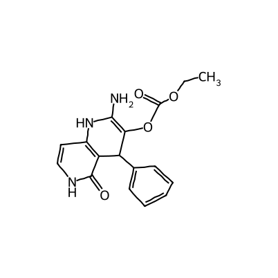 CCOC(=O)OC1=C(N)Nc2cc[nH]c(=O)c2C1c1ccccc1